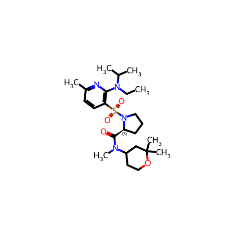 CCN(c1nc(C)ccc1S(=O)(=O)N1CCC[C@H]1C(=O)N(C)C1CCOC(C)(C)C1)C(C)C